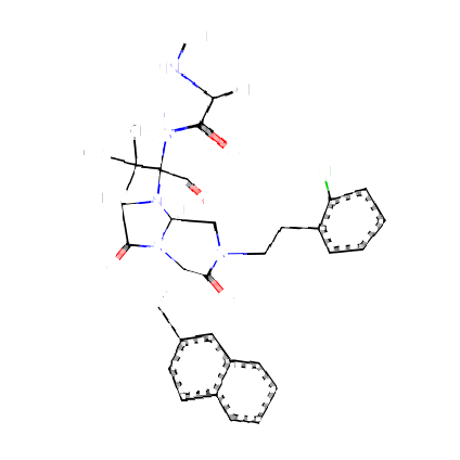 CNC(C)C(=O)NC(C=O)(N1CC(=O)N2[C@@H](Cc3ccc4ccccc4c3)C(=O)N(CCc3ccccc3Cl)C[C@@H]21)C(C)(C)C